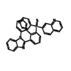 S=P(c1ccncc1)(c1ccc2cccnc2c1)c1cccc2c1c1ccccc1n1c3ccccc3nc21